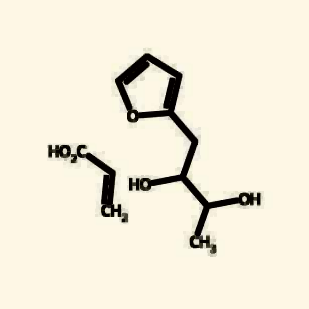 C=CC(=O)O.CC(O)C(O)Cc1ccco1